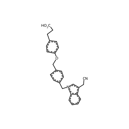 N#CCc1cn(Cc2ccc(COc3ccc(CCC(=O)O)cc3)cc2)c2ccccc12